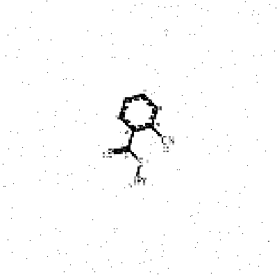 CC(C)SC(=S)c1ccccc1C#N